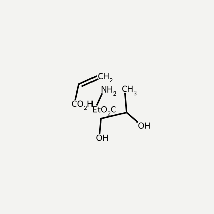 C=CC(=O)O.CC(O)CO.CCOC(N)=O